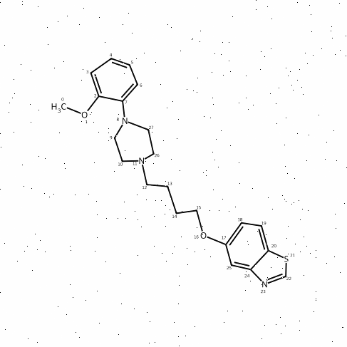 COc1ccccc1N1CCN(CCCCOc2ccc3scnc3c2)CC1